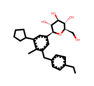 CCc1ccc(Cc2cc([C@@H]3O[C@H](CO)[C@@H](O)[C@H](O)[C@H]3O)cc(C3CCCC3)c2C)cc1